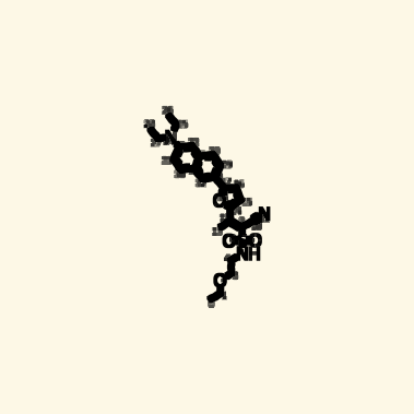 CCOCCNS(=O)(=O)/C(C#N)=C(\C)c1ccc(-c2ccc3cc(N(CC)CC)ccc3c2)o1